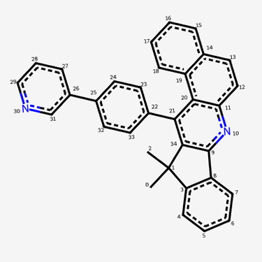 CC1(C)c2ccccc2-c2nc3ccc4ccccc4c3c(-c3ccc(-c4cccnc4)cc3)c21